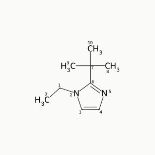 CCn1ccnc1C(C)(C)C